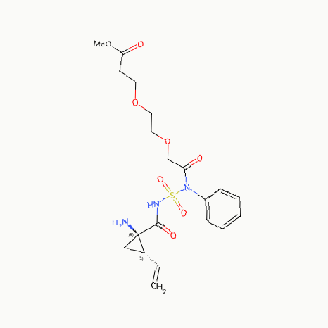 C=C[C@@H]1C[C@]1(N)C(=O)NS(=O)(=O)N(C(=O)COCCOCCC(=O)OC)c1ccccc1